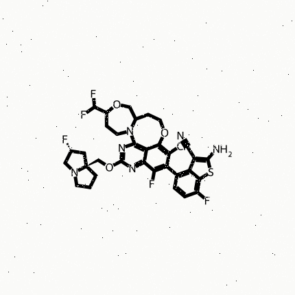 N#Cc1c(N)sc2c(F)ccc(-c3c(Cl)c4c5c(nc(OC[C@@]67CCCN6C[C@H](F)C7)nc5c3F)N3CCC(C(F)F)OCC3CCO4)c12